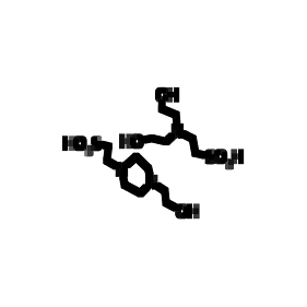 O=S(=O)(O)CCN(CCO)CCO.O=S(=O)(O)CCN1CCN(CCO)CC1